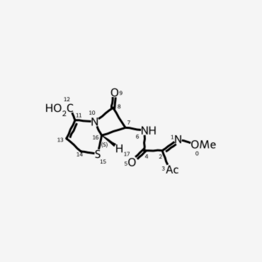 CON=C(C(C)=O)C(=O)NC1C(=O)N2C(C(=O)O)=CCS[C@@H]12